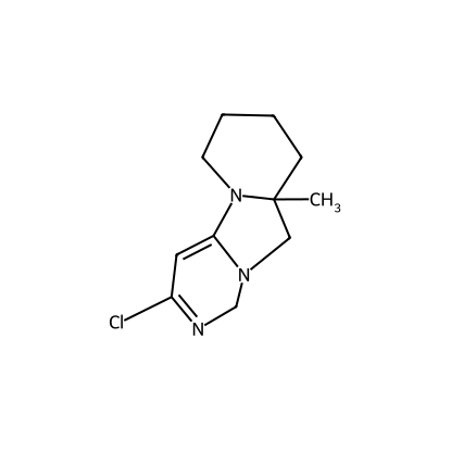 CC12CCCCN1C1=CC(Cl)=NCN1C2